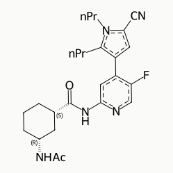 CCCc1c(-c2cc(NC(=O)[C@H]3CCC[C@@H](NC(C)=O)C3)ncc2F)cc(C#N)n1CCC